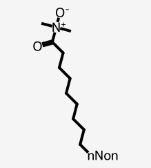 CCCCCCCCCCCCCCCCCC(=O)[N+](C)(C)[O-]